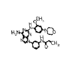 C=CC(=O)Nc1cccc(-n2cnc3c(N)nc(Nc4ccc(N5CCOCC5)cc4OC)nc32)c1